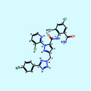 Cc1cc(Cl)cc(C(N)=O)c1NC(=O)c1cc(Cn2nnc(-c3ccc(Br)cc3)n2)nn1-c1ncccc1Cl